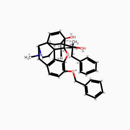 CN1CC[C@]23c4c5ccc(OCc6ccccc6)c4O[C@H]2[C@@]2(O)C=CC3(C[C@H]2[C@](C)(O)Cc2ccccc2)C1C5